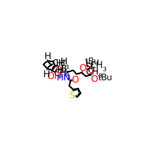 CC(C)(C)OC(=O)CC(CC[C@@H](BO[C@@H]1C[C@@H]2C[C@@H](C2(C)C)[C@]1(C)O)NC(=O)Cc1cccs1)O[Si](C)(C)C(C)(C)C